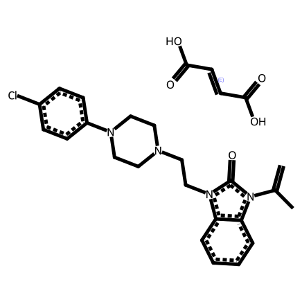 C=C(C)n1c(=O)n(CCN2CCN(c3ccc(Cl)cc3)CC2)c2ccccc21.O=C(O)/C=C/C(=O)O